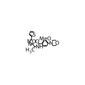 COc1cc(N2CCOCC2)ccc1C(=O)NC(C)c1nnc(-c2cccs2)o1